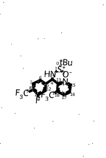 CC(C)(C)[S+]([O-])NC(c1ccc(C(F)(F)F)c(F)c1)c1ncccc1C(F)(F)F